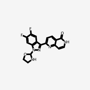 O=c1[nH]ccc2nc(-c3nn(C4NCCO4)c4cc(F)c(F)cc34)ccc12